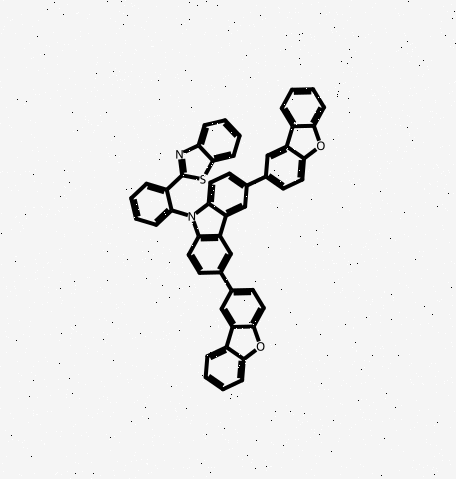 c1ccc(-n2c3ccc(-c4ccc5oc6ccccc6c5c4)cc3c3cc(-c4ccc5oc6ccccc6c5c4)ccc32)c(-c2nc3ccccc3s2)c1